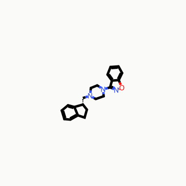 c1ccc2c(c1)CC[C@H]2CN1CCN(c2noc3ccccc23)CC1